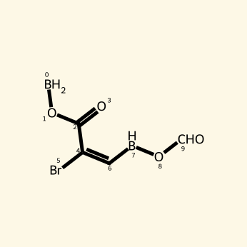 BOC(=O)/C(Br)=C\BOC=O